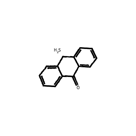 O=C1c2ccccc2Cc2ccccc21.S